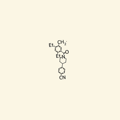 [CH2]c1cc(C(=O)N2CCC(c3ccc(C#N)cc3)CC2)c(CC)cc1CC